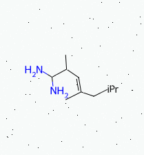 CC(=CC(C)C(N)N)CC(C)C